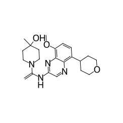 C=C(Nc1cnc2c(C3CCOCC3)ccc(OC)c2n1)N1CCC(C)(O)CC1